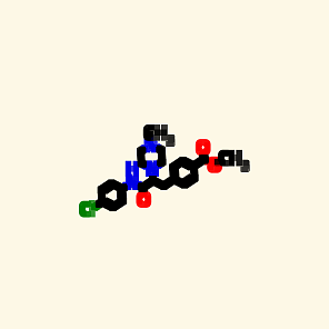 COC(=O)c1ccc(CC(C(=O)Nc2ccc(Cl)cc2)N2CCN(C)CC2)cc1